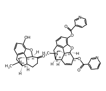 CN1CC[C@]23c4c5ccc(O)c4O[C@H]2C(=O)CC[C@H]3[C@H]1C5.CN1CC[C@]23c4c5ccc(OC(=O)c6cccnc6)c4O[C@H]2[C@@H](OC(=O)c2cccnc2)C=C[C@H]3[C@H]1C5